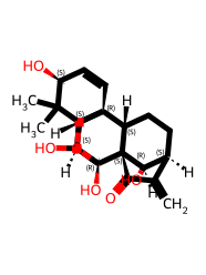 C=C1C(=O)[C@]23[C@H](O)[C@H]1CC[C@H]2[C@]12C=C[C@H](O)C(C)(C)[C@H]1[C@H](O)[C@]3(O)OC2